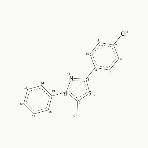 Cc1sc(-c2ccc(Cl)cc2)nc1-c1ccccc1